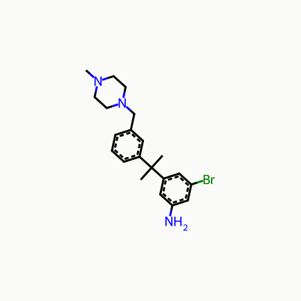 CN1CCN(Cc2cccc(C(C)(C)c3cc(N)cc(Br)c3)c2)CC1